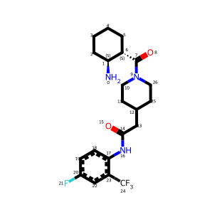 N[C@H]1CCCC[C@@H]1C(=O)N1CCC(CC(=O)Nc2ccc(F)cc2C(F)(F)F)CC1